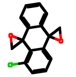 Clc1cccc2c1C1(CO1)c1ccccc1C21CO1